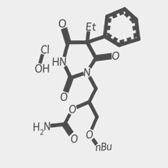 CCCCOCC(CN1C(=O)NC(=O)C(CC)(c2ccccc2)C1=O)OC(N)=O.OCl